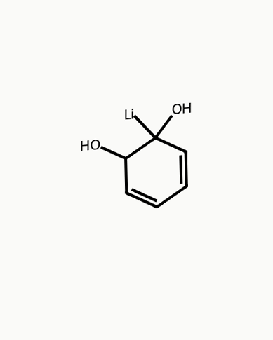 [Li][C]1(O)C=CC=CC1O